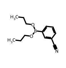 CCCOB(OCCC)c1cccc(C#N)c1